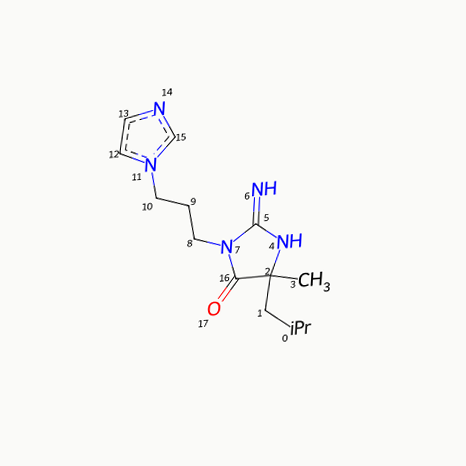 CC(C)CC1(C)NC(=N)N(CCCn2ccnc2)C1=O